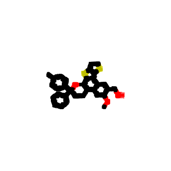 COc1cc2c3c(c4sc5ccsc5c4c2cc1CO)OC(c1ccccc1)(c1ccc(C)cc1)C=C3